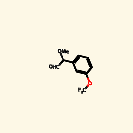 CO[C@H](C=O)c1cccc(OC(F)(F)F)c1